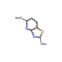 COc1ccc2sc(SC)nc2n1